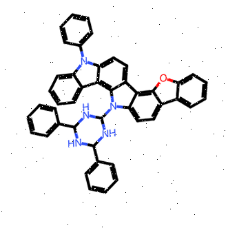 c1ccc(C2NC(c3ccccc3)NC(n3c4ccc5c6ccccc6oc5c4c4ccc5c(c6ccccc6n5-c5ccccc5)c43)N2)cc1